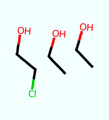 CCO.CCO.OCCCl